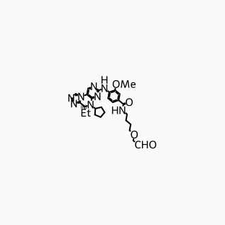 CC[C@@H]1c2nncn2-c2cnc(Nc3ccc(C(=O)NCCCCOCC=O)cc3OC)nc2N1C1CCCC1